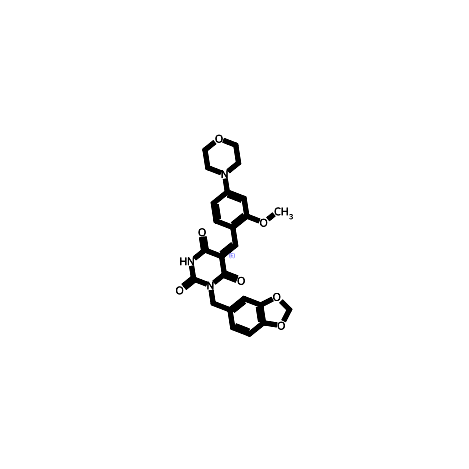 COc1cc(N2CCOCC2)ccc1/C=C1\C(=O)NC(=O)N(Cc2ccc3c(c2)OCO3)C1=O